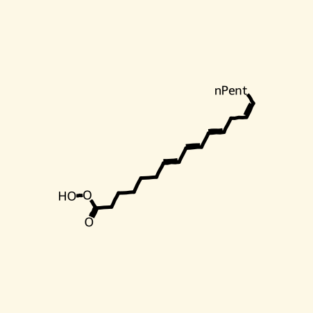 CCCCC/C=C\CC=CC=C/C=C/CCCCCC(=O)OO